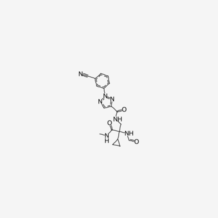 CNC(=O)C(CNC(=O)c1cnn(-c2cccc(C#N)c2)n1)(NC=O)C1CC1